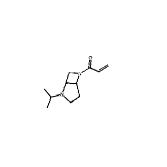 C=CC(=O)N1CC2C1CCN2C(C)C